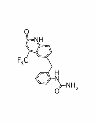 NC(=O)Nc1ccccc1Cc1ccc2[nH]c(=O)cc(C(F)(F)F)c2c1